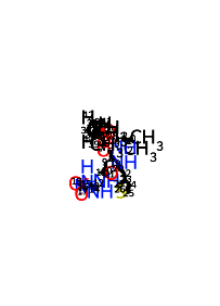 CC(C)C[C@H](NC(=O)[C@H](CCCNC(=N)N[N+](=O)[O-])NC(=O)Cc1ccsc1)B1O[C@@H]2C[C@@H]3C[C@@H](C3(C)C)[C@]2(C)O1